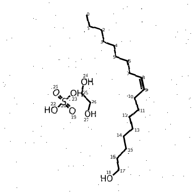 CCCCCCCC/C=C\CCCCCCCCO.O=S(=O)(O)O.OCCO